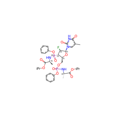 Cc1cn([C@H]2O[C@@H](COP(=O)(N[C@@H](C)C(=O)OC(C)C)Oc3ccccc3)[C@H]([P@](=O)(N[C@@H](C)C(=O)OC(C)C)Oc3ccccc3)[C@H]2F)c(=O)[nH]c1=O